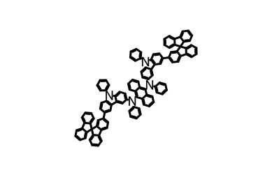 c1ccc(N(c2ccc3c(c2)c2cc(-c4ccc5c(c4)C4(c6ccccc6-c6ccccc64)c4ccccc4-5)ccc2n3-c2ccccc2)c2c3ccccc3c(N(c3ccccc3)c3ccc4c(c3)c3cc(-c5ccc6c(c5)C5(c7ccccc7-c7ccccc75)c5ccccc5-6)ccc3n4-c3ccccc3)c3ccccc23)cc1